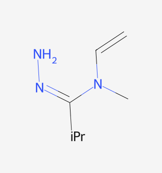 C=CN(C)/C(=N\N)C(C)C